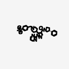 CS(=O)(=O)c1ccc(CN2CCC(c3c(C(=O)N4CC[C@H](c5ccccc5)C4)cnn3-c3ncccn3)CC2)cc1